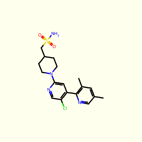 Cc1cnc(-c2cc(N3CCC(CS(N)(=O)=O)CC3)ncc2Cl)c(C)c1